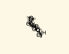 C=CC(=O)Nc1ccc(S(=O)(=O)N2CCN(C(=O)N3CC(C)OC(C)C3)CC2)cc1